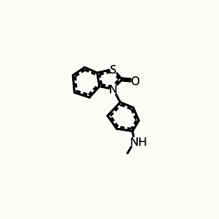 CNc1ccc(-n2c(=O)sc3ccccc32)cc1